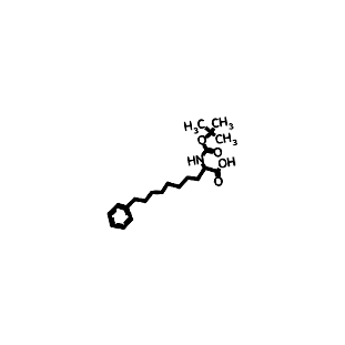 CC(C)(C)OC(=O)NC(CCCCCCCCc1ccccc1)C(=O)O